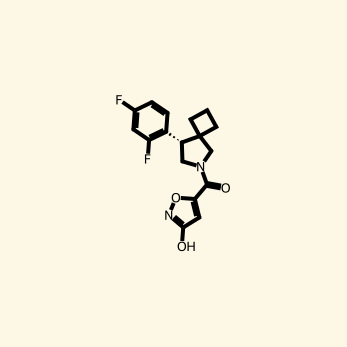 O=C(c1cc(O)no1)N1C[C@H](c2ccc(F)cc2F)C2(CCC2)C1